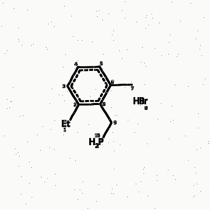 Br.CCc1cccc(C)c1CP